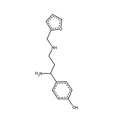 NC(CCNCc1ccco1)c1ccc(O)cc1